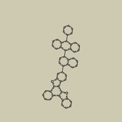 c1ccc(-c2c3ccccc3c(-c3ccc(-c4ccc5c(c4)oc4c6ccccc6c6c7ccccc7oc6c54)c4ccccc34)c3ccccc23)cc1